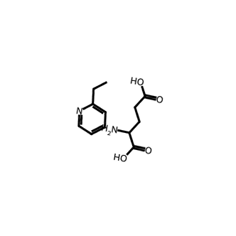 CCc1ccccn1.NC(CCC(=O)O)C(=O)O